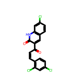 O=C(/C=C\c1ccc(Cl)cc1Cl)c1cc2ccc(Cl)cc2[nH]c1=O